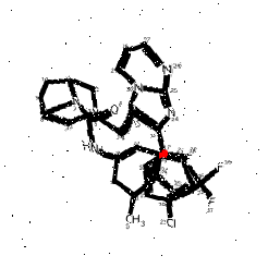 CC1CC(NC(=O)N2C3CCC2CN(Cc2c(-c4ccc(Cl)cc4)nc4ncccn24)C3)=CC=C1SC(F)(F)F